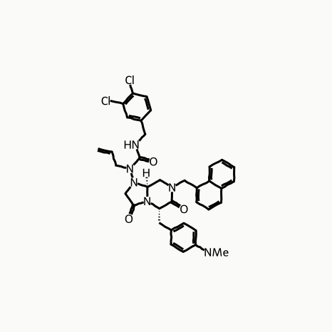 C=CCN(C(=O)NCc1ccc(Cl)c(Cl)c1)N1CC(=O)N2[C@@H](Cc3ccc(NC)cc3)C(=O)N(Cc3cccc4ccccc34)C[C@@H]21